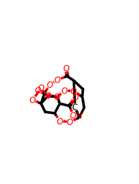 O=C1OOC(=O)C23CC4OOC5CC(CC1C5)OOC1(OOC21OO3)C4C(=O)O